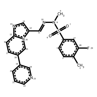 Cc1ccc(S(=O)(=O)N(C)N=Cc2cnc3ccc(-c4cccnc4)cn23)cc1F